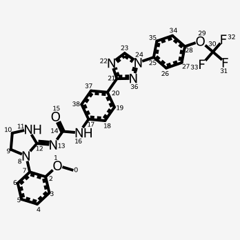 COc1ccccc1N1CCN/C1=N\C(=O)Nc1ccc(-c2ncn(-c3ccc(OC(F)(F)F)cc3)n2)cc1